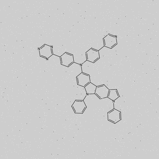 c1ccc(-n2ccc3cc4c5cc(N(c6ccc(-c7ccncc7)cc6)c6ccc(-c7ncncn7)cc6)ccc5n(-c5ccccc5)c4cc32)cc1